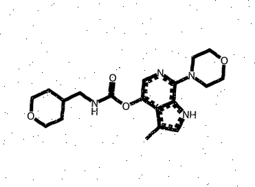 Cc1c[nH]c2c(N3CCOCC3)ncc(OC(=O)NCC3CCOCC3)c12